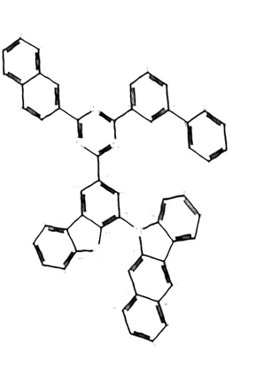 c1ccc(-c2cccc(-c3nc(-c4ccc5ccccc5c4)nc(-c4cc(-n5c6ccccc6c6cc7ccccc7cc65)c5oc6ccccc6c5c4)n3)c2)cc1